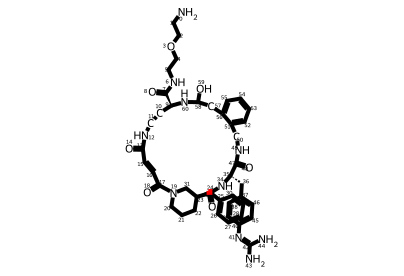 NCCOCCNC(=O)[C@@H]1CCNC(=O)/C=C/C(=O)N2CCC[C@](Cc3ccccc3)(C2)C(=O)N[C@@H](Cc2ccc(N=C(N)N)cc2)C(=O)NCc2ccccc2CC(O)N1